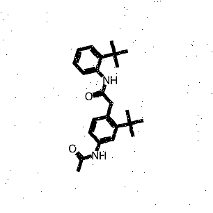 CC(=O)Nc1ccc(CC(=O)Nc2ccccc2C(C)(C)C)c(C(C)(C)C)c1